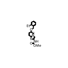 CCc1ccccc1COc1ccc2nc(NC(=O)OC)cn2n1